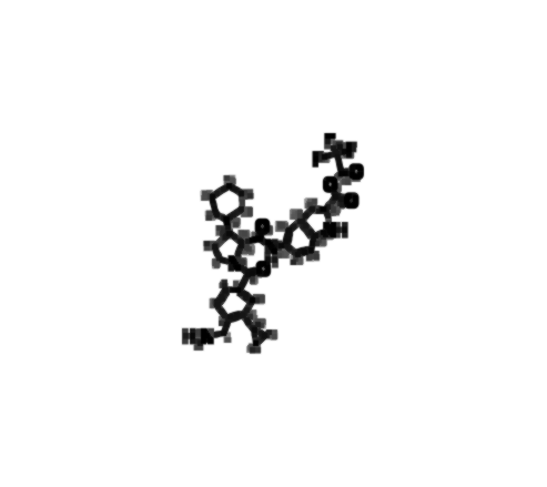 NCc1ccc(C(=O)N2CC[C@@H](C3CCCCC3)[C@H]2C(=O)Nc2ccc3[nH]c(C(=O)OC(=O)C(F)(F)F)cc3c2)cc1C1CC1